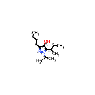 CCCCc1nn(C(C)C)c(C(C)CC)c1O